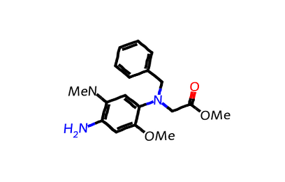 CNc1cc(N(CC(=O)OC)Cc2ccccc2)c(OC)cc1N